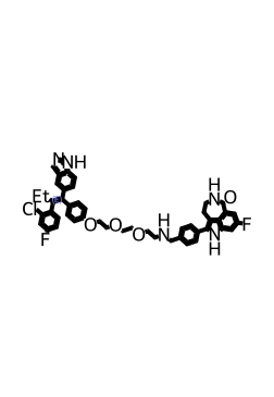 CC/C(=C(/c1ccc(OCCOCCOCCNCc2ccc(-c3[nH]c4cc(F)cc5c4c3CCNC5=O)cc2)cc1)c1ccc2[nH]ncc2c1)c1ccc(F)cc1Cl